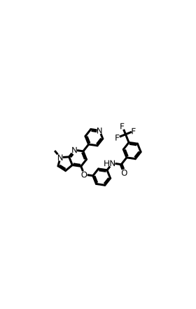 Cn1ccc2c(Oc3cccc(NC(=O)c4cccc(C(F)(F)F)c4)c3)cc(-c3ccncc3)nc21